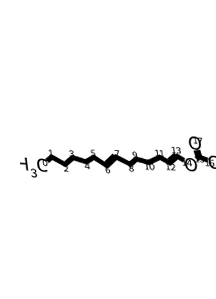 CCCCCCC=CCCCCC=COC(C)=O